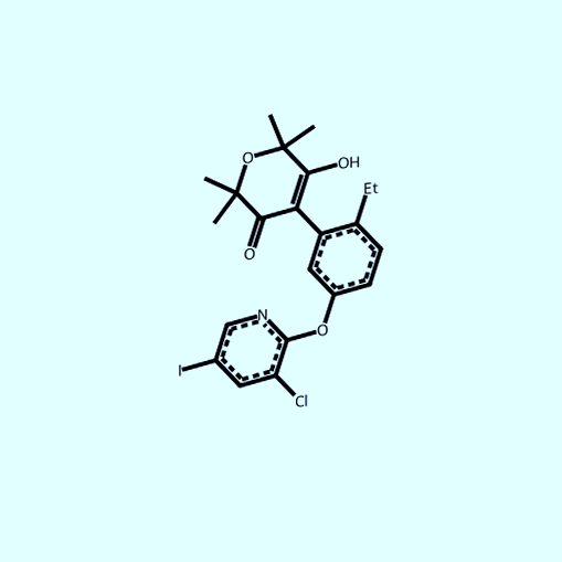 CCc1ccc(Oc2ncc(I)cc2Cl)cc1C1=C(O)C(C)(C)OC(C)(C)C1=O